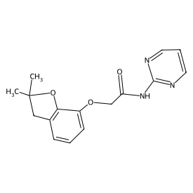 CC1(C)Cc2cccc(OCC(=O)Nc3ncccn3)c2O1